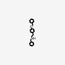 c1ccc(CNCCc2ccc(OCc3ccccc3)cc2)cc1